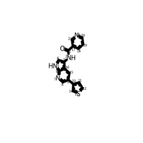 O=C(Nc1c[nH]c2ncc(-c3ccsc3)cc12)c1cccnc1